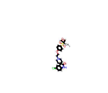 CC1(S(=O)(=O)c2ccc(OCCN3CCC4(CC3)C(=O)Nc3ccc(Cl)cc34)cc2)COC1